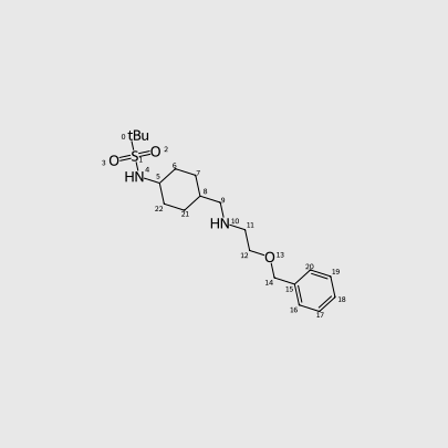 CC(C)(C)S(=O)(=O)NC1CCC(CNCCOCc2ccccc2)CC1